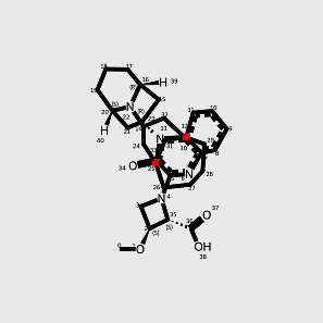 CO[C@H]1CN(c2nc3ccccc3n([C@H]3C[C@H]4CCC[C@@H](C3)N4C3CC4CCCCC(C4)C3)c2=O)[C@@H]1C(=O)O